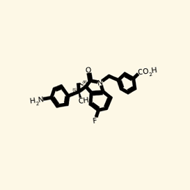 C[C@@]1(c2ccc(N)cc2)C[C@@]12C(=O)N(Cc1cccc(C(=O)O)c1)c1ccc(F)cc12